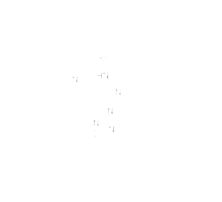 Cc1nc(N2CCN(c3cc(C(C)C)ccc3NC(=O)c3cccnc3)CC2)ns1